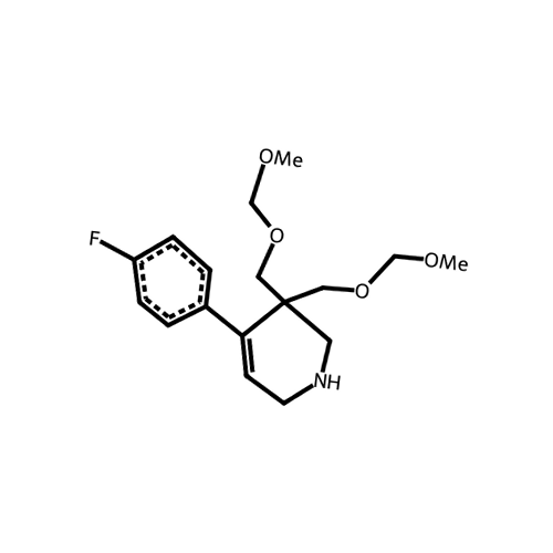 COCOCC1(COCOC)CNCC=C1c1ccc(F)cc1